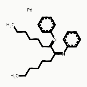 CCCCCCC(=Nc1ccccc1)C(CCCCCC)=Nc1ccccc1.[Pd]